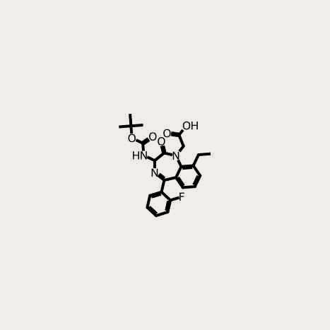 CCc1cccc2c1N(CC(=O)O)C(=O)C(NC(=O)OC(C)(C)C)N=C2c1ccccc1F